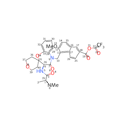 CN[C@@H](C)C(=O)N[C@@H]1C(=O)N(Cc2c(OC)ccc3cc(C(=O)OC(=O)C(F)(F)F)ccc23)c2ccccc2OC12CCOCC2